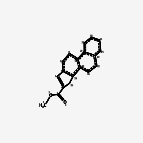 COC(=O)C1=Cc2ccc3c(ccc4ccccc43)c2C1